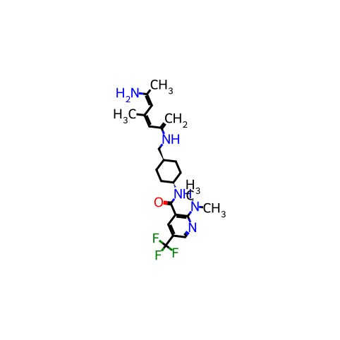 C=C(/C=C(C)\C=C(\C)N)NC[C@H]1CC[C@H](NC(=O)c2cc(C(F)(F)F)cnc2N(C)C)CC1